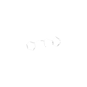 OC(Cc1cc[c]cc1)Cc1ccccc1